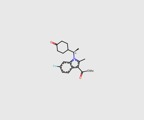 COC(=O)c1c(C)n([C@H](C)C2CCC(=O)CC2)c2cc(F)ccc12